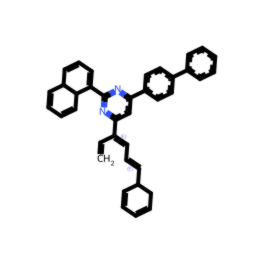 C=C/C(=C\C=C\C1C=CC=CC1)c1cc(-c2ccc(-c3ccccc3)cc2)nc(C2=CC=CC3C=CC=CC23)n1